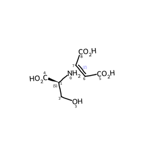 N[C@@H](CO)C(=O)O.O=C(O)/C=C\C(=O)O